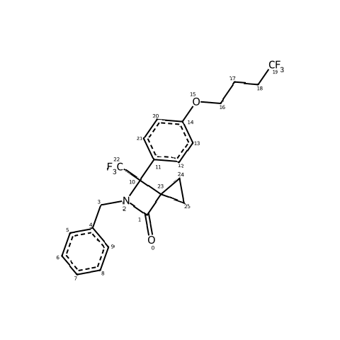 O=C1N(Cc2ccccc2)C(c2ccc(OCCCC(F)(F)F)cc2)(C(F)(F)F)C12CC2